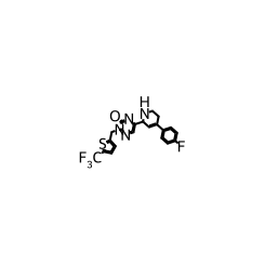 O=c1nc(C2C=C(c3ccc(F)cc3)CCN2)cnn1Cc1ccc(C(F)(F)F)s1